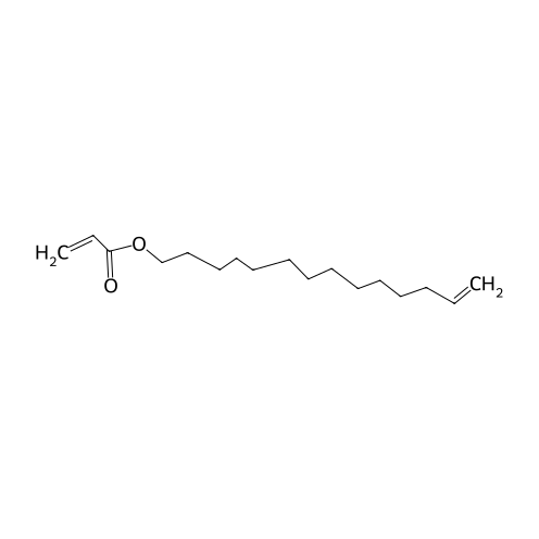 C=CCCCCCCCCCCCCOC(=O)C=C